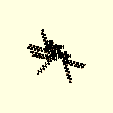 CCCCCCCCCCC[C@H](CC(=O)NC1C(OC(=O)C[C@@H](CCCCCCCCCCC)OCCCCCCCCCC)[C@H](OC(=O)C(O)CO)C(CO)O[C@H]1OC[C@H](NC(=O)C[C@@H](CCCCCCCCCCC)OCCCCCCCCCC)C(=O)O)OCCCCCCCCCC